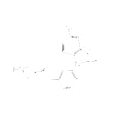 O=C(Oc1cccc(N2c3ccc(Cl)cc3C3CC32)c1)C1CNC1